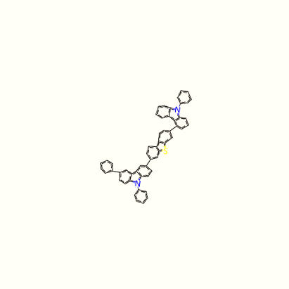 c1ccc(-c2ccc3c(c2)c2cc(-c4ccc5c(c4)sc4cc(-c6cccc7c6c6ccccc6n7-c6ccccc6)ccc45)ccc2n3-c2ccccc2)cc1